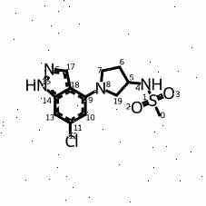 CS(=O)(=O)NC1CCN(c2cc(Cl)cc3[nH]ncc23)C1